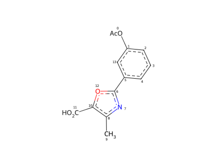 CC(=O)Oc1cccc(-c2nc(C)c(C(=O)O)o2)c1